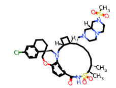 C[C@@H]1[C@@H](C)CCC[C@@H](CN2CCN3CCN(S(C)(=O)=O)C[C@H]3C2)[C@@H]2CC[C@H]2CN2C[C@@]3(CCCc4cc(Cl)ccc43)COc3ccc(cc32)C(=O)NS1(=O)=O